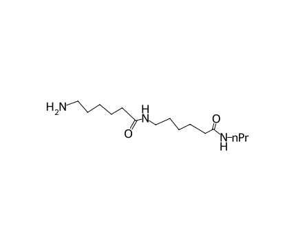 CCCNC(=O)CCCCCNC(=O)CCCCCN